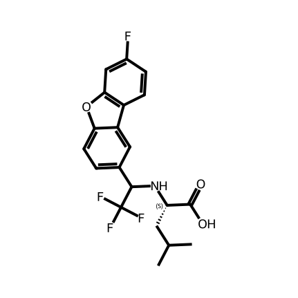 CC(C)C[C@H](NC(c1ccc2oc3cc(F)ccc3c2c1)C(F)(F)F)C(=O)O